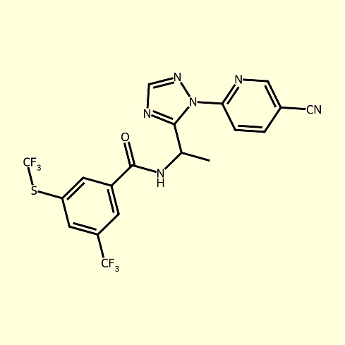 CC(NC(=O)c1cc(SC(F)(F)F)cc(C(F)(F)F)c1)c1ncnn1-c1ccc(C#N)cn1